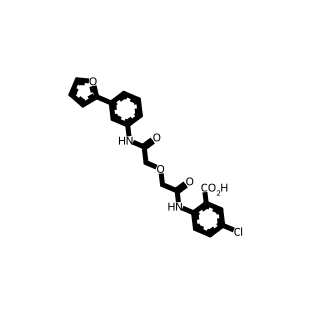 O=C(COCC(=O)Nc1ccc(Cl)cc1C(=O)O)Nc1cccc(-c2ccco2)c1